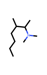 CCCCC(C)C(C)N(C)C